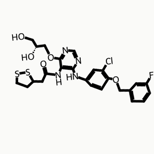 O=C(CC1CCSS1)Nc1c(Nc2ccc(OCc3cccc(F)c3)c(Cl)c2)ncnc1OC[C@H](O)CO